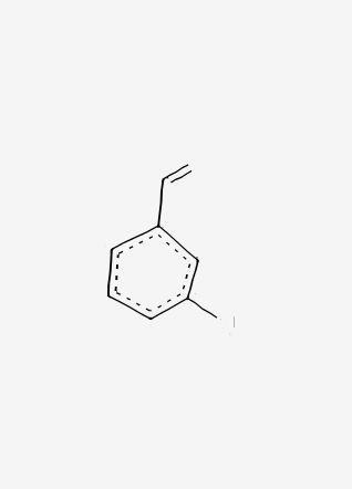 O=[C]c1[c]c([SiH3])ccc1